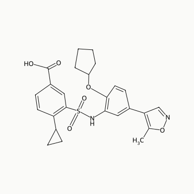 Cc1oncc1-c1ccc(OC2CCCC2)c(NS(=O)(=O)c2cc(C(=O)O)ccc2C2CC2)c1